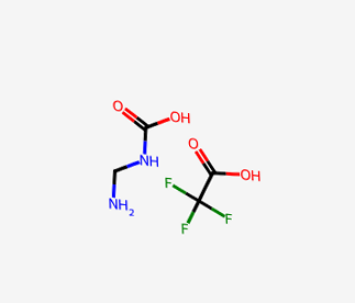 NCNC(=O)O.O=C(O)C(F)(F)F